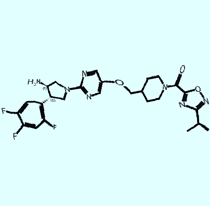 CC(C)c1noc(C(=O)N2CCC(COc3cnc(N4C[C@H](c5cc(F)c(F)cc5F)[C@@H](N)C4)nc3)CC2)n1